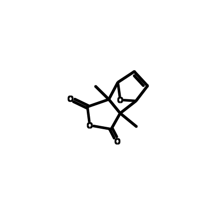 CC12C(=O)OC(=O)C1(C)C1C=CC2O1